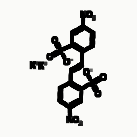 O=[N+]([O-])c1ccc(C=Cc2ccc([N+](=O)[O-])cc2S(=O)(=O)[O-])c(S(=O)(=O)[O-])c1.[K+].[K+]